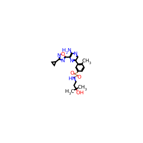 Cc1ccc(S(=O)(=O)NCCC(C)(C)O)cc1-c1cnc(N)c(-c2nc(C3CC3)no2)n1